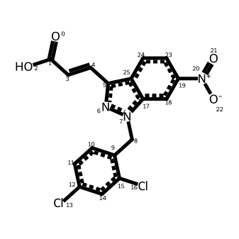 O=C(O)/C=C/c1nn(Cc2ccc(Cl)cc2Cl)c2cc([N+](=O)[O-])ccc12